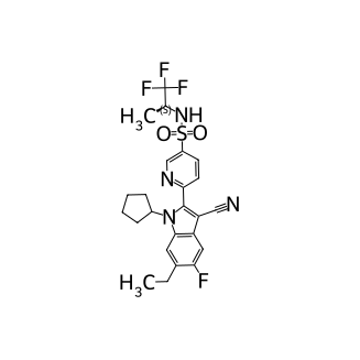 CCc1cc2c(cc1F)c(C#N)c(-c1ccc(S(=O)(=O)N[C@@H](C)C(F)(F)F)cn1)n2C1CCCC1